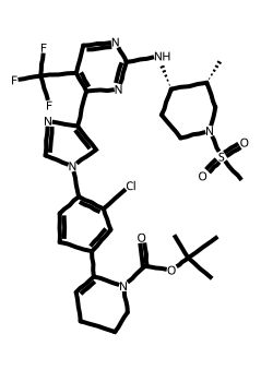 C[C@@H]1CN(S(C)(=O)=O)CC[C@@H]1Nc1ncc(C(F)(F)F)c(-c2cn(-c3ccc(C4=CCCCN4C(=O)OC(C)(C)C)cc3Cl)cn2)n1